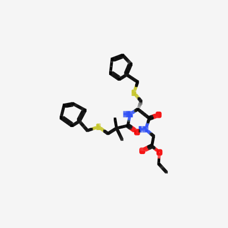 CCOC(=O)CNC(=O)[C@@H](CSCc1ccccc1)NC(=O)C(C)(C)CSCc1ccccc1